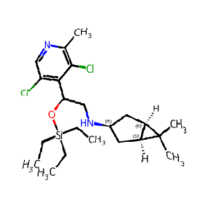 CC[Si](CC)(CC)OC(CN[C@H]1C[C@@H]2[C@H](C1)C2(C)C)c1c(Cl)cnc(C)c1Cl